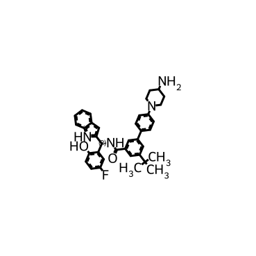 CC(C)(C)c1cc(C(=O)N[C@@H](c2cc3ccccc3[nH]2)c2cc(F)ccc2O)cc(-c2ccc(N3CCC(N)CC3)cc2)c1